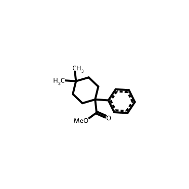 COC(=O)C1(c2ccccc2)CCC(C)(C)CC1